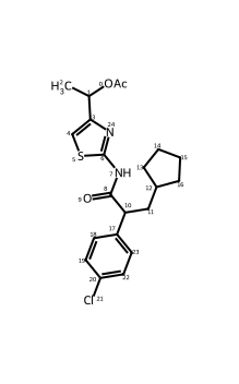 CC(=O)OC(C)c1csc(NC(=O)C(CC2CCCC2)c2ccc(Cl)cc2)n1